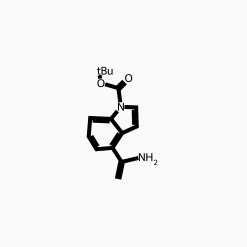 C=C(N)c1cccc2c1ccn2C(=O)OC(C)(C)C